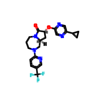 O=C1[C@H](Oc2cnc(C3CC3)cn2)C[C@H]2CN(c3ccc(C(F)(F)F)cn3)CCCN12